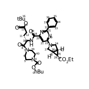 CCCCOC(=O)N1CCN(C(=O)[C@H](CCC(=O)OC(C)(C)C)NC(=O)c2cc(N3C[C@@H]4[C@H](C3)[C@H]4C(=O)OCC)nc(-c3ccccc3)n2)CC1